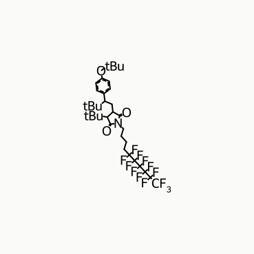 CC(C)(C)Oc1ccc(C(CC2C(=O)N(CCCCC(F)(F)C(F)(F)C(F)(F)C(F)(F)C(F)(F)C(F)(F)F)C(=O)C2C(C)(C)C)C(C)(C)C)cc1